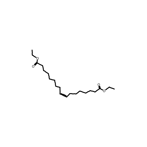 CCOC(=O)CCCCCC/C=C\CCCCCCCC(=O)OCC